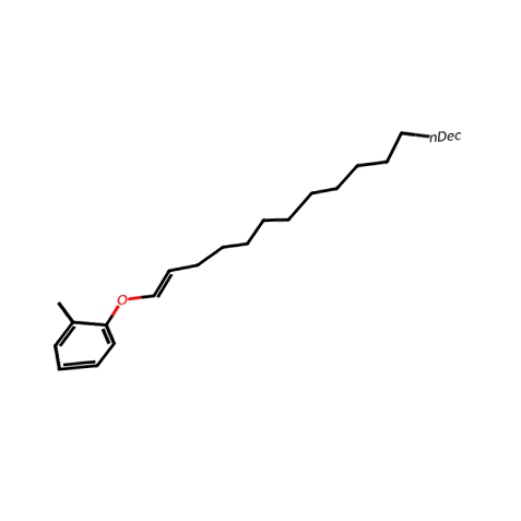 CCCCCCCCCCCCCCCCCCCCC=COc1ccccc1C